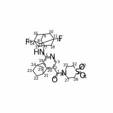 O=C(c1cnc(NC23CC4CC(F)(CC(F)(C4)C2)C3)c2c1C1CCC2C1)N1CCS(=O)(=O)CC1